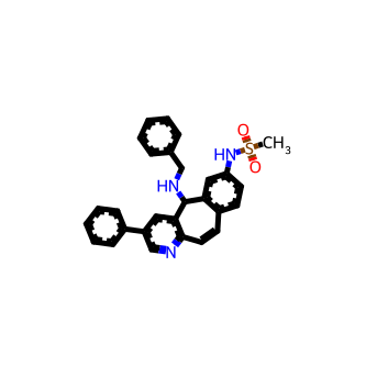 CS(=O)(=O)Nc1ccc2c(c1)C(NCc1ccccc1)c1cc(-c3ccccc3)cnc1C=C2